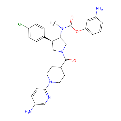 CN(C(=O)Oc1cccc(N)c1)[C@@H]1CN(C(=O)C2CCN(c3ccc(N)cn3)CC2)C[C@H]1c1ccc(Cl)cc1